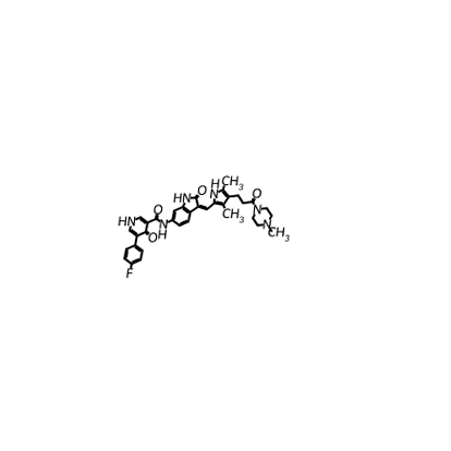 Cc1[nH]c(C=C2C(=O)Nc3cc(NC(=O)c4c[nH]cc(-c5ccc(F)cc5)c4=O)ccc32)c(C)c1CCC(=O)N1CCN(C)CC1